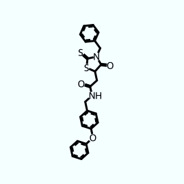 O=C(CC1SC(=S)N(Cc2ccccc2)C1=O)NCc1ccc(Oc2ccccc2)cc1